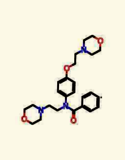 O=C(c1cc[c]cc1)N(CCN1CCOCC1)c1ccc(OCCN2CCOCC2)cc1